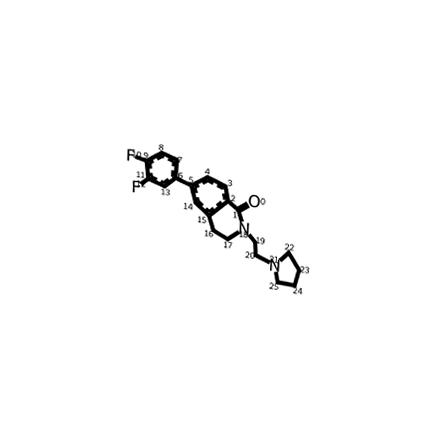 O=C1c2ccc(-c3ccc(F)c(F)c3)cc2CCN1CCN1CCCC1